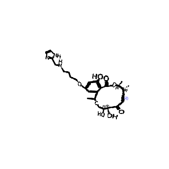 CC1CC[C@H](O)[C@H](O)C(=O)/C=C\[C@@H](C)[C@H](C)OC(=O)c2c(O)cc(OCCCCNCc3ncc[nH]3)cc21